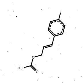 CC(=O)OCC=Cc1ccc(I)cc1